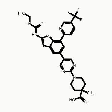 CCNC(=O)Nc1nc2cc(-c3cnc(N4CCC(C)(C(=O)O)CC4)nc3)cc(-c3ccc(C(F)(F)F)cn3)c2s1